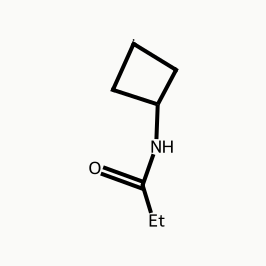 CCC(=O)NC1C[CH]C1